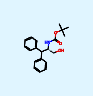 CC(C)(C)OC(=O)N[C@H](CO)C(c1ccccc1)c1ccccc1